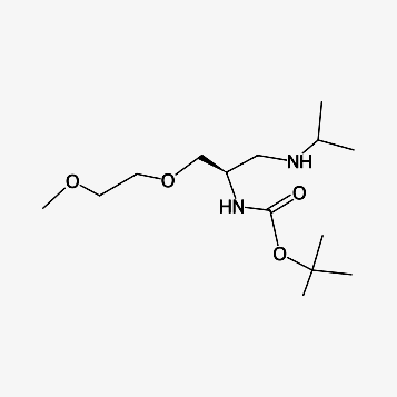 COCCOC[C@@H](CNC(C)C)NC(=O)OC(C)(C)C